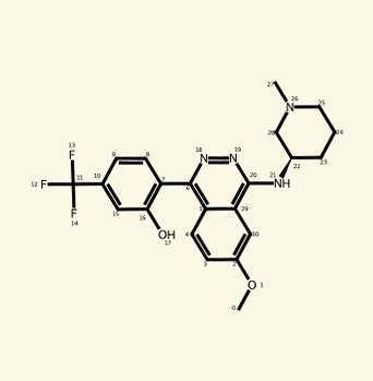 COc1ccc2c(-c3ccc(C(F)(F)F)cc3O)nnc(N[C@@H]3CCCN(C)C3)c2c1